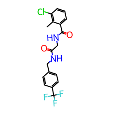 Cc1c(Cl)cccc1C(=O)NCC(=O)NCc1ccc(C(F)(F)F)cc1